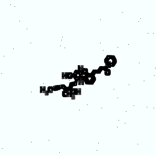 CC#CC[C@@H](C)[C@H](O)/C=C/[C@@H]1[C@H]2c3cccc(CCCC(=O)N4CCCCC4)c3O[C@H]2C[C@H]1O